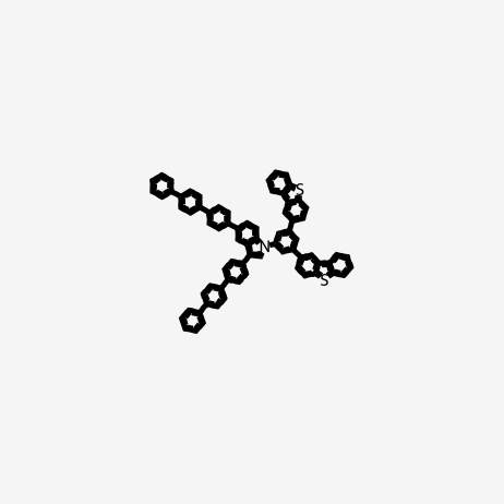 c1ccc(-c2ccc(-c3ccc(-c4ccc5c(c4)c(-c4ccc(-c6ccc(-c7ccccc7)cc6)cc4)cn5-c4cc(-c5ccc6sc7ccccc7c6c5)cc(-c5ccc6sc7ccccc7c6c5)c4)cc3)cc2)cc1